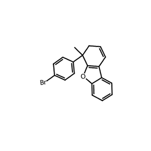 CC1(c2ccc(Br)cc2)CC=Cc2c1oc1ccccc21